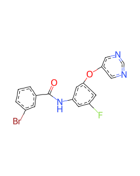 O=C(Nc1cc(F)cc(Oc2cncnc2)c1)c1cccc(Br)c1